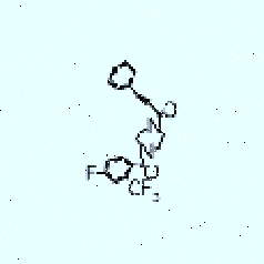 O=C(C#Cc1ccccc1)N1CCN(C(=O)c2ccc(F)cc2C(F)(F)F)CC1